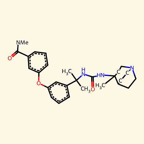 CNC(=O)c1cccc(Oc2cccc(C(C)(C)NC(=O)NC3(C)CCN4CCC3CC4)c2)c1